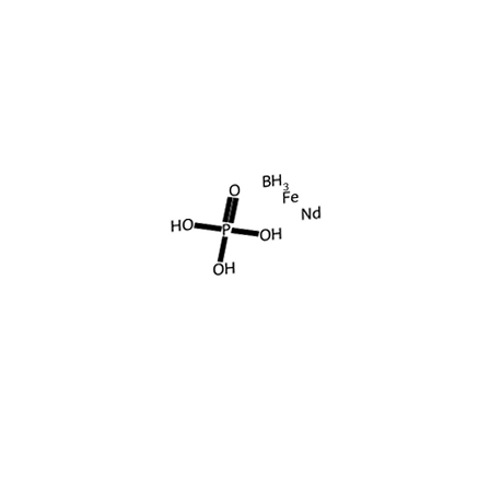 B.O=P(O)(O)O.[Fe].[Nd]